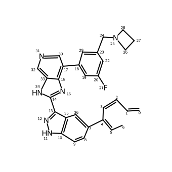 C=C/C=C\C(=C/C)c1ccc2[nH]nc(-c3nc4c(-c5cc(F)cc(CN6CCC6)c5)cncc4[nH]3)c2c1